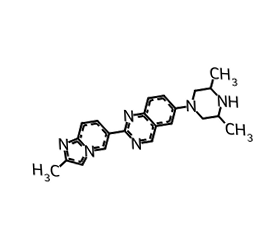 Cc1cn2cc(-c3ncc4cc(N5CC(C)NC(C)C5)ccc4n3)ccc2n1